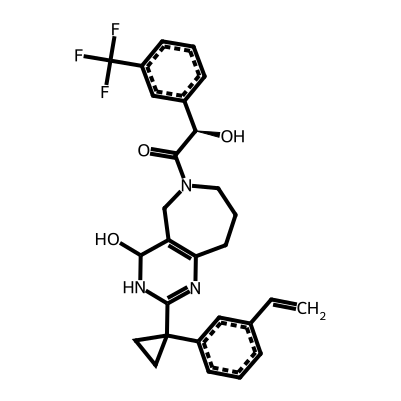 C=Cc1cccc(C2(C3=NC4=C(CN(C(=O)[C@H](O)c5cccc(C(F)(F)F)c5)CCC4)C(O)N3)CC2)c1